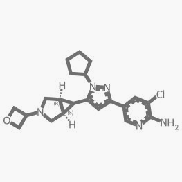 Nc1ncc(-c2cc(C3[C@H]4CN(C5COC5)C[C@@H]34)n(C3CCCC3)n2)cc1Cl